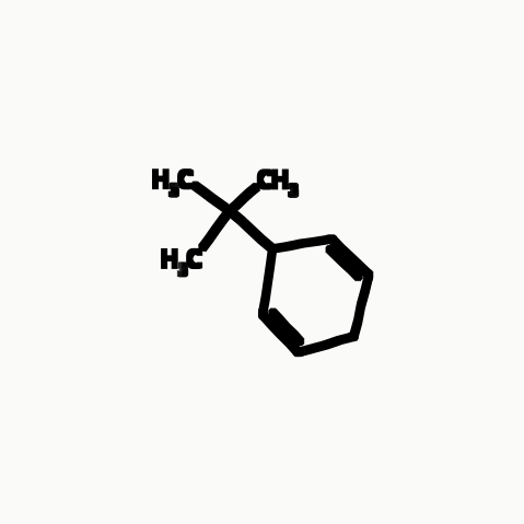 CC(C)(C)C1C=CCC=C1